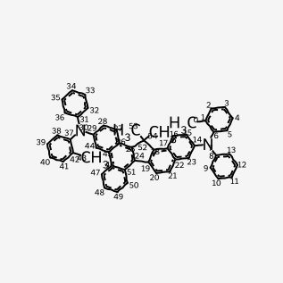 Cc1ccccc1N(c1ccccc1)c1ccc2c3c(ccc2c1)-c1c(c2ccc(N(c4ccccc4)c4ccccc4C)cc2c2ccccc12)C3(C)C